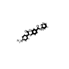 NN1CCC([C@H](Cc2ccc(C(=O)Nc3cccnn3)cc2)C(=O)O)CC1